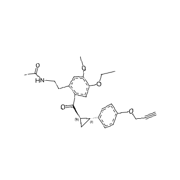 C#CCOc1ccc([C@@H]2C[C@H]2C(=O)c2cc(OCC)c(OC)cc2CCNC(C)=O)cc1